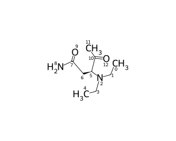 CCN(CC)[C@@H](CC(N)=O)C(C)=O